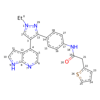 CCn1cc(-c2ccnc3[nH]ccc23)c(-c2ccc(NC(=O)Cc3cccs3)cc2)n1